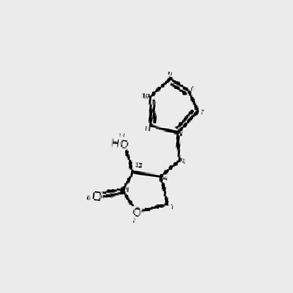 O=C1OCC(Cc2ccccc2)C1O